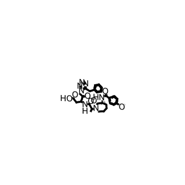 COc1ccc(C(=O)N[C@H]2CCCCN(C(C)C(=O)NC(CC(=O)O)C(=O)Cn3nnnc3Cc3ccccc3)C2=O)cc1